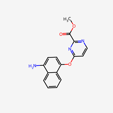 COC(=O)c1nccc(Oc2ccc(N)c3ccccc23)n1